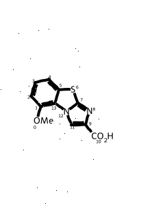 COc1cccc2sc3nc(C(=O)O)cn3c12